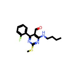 CCCCNc1nc(SC)nc(-c2ccccc2F)c1C=O